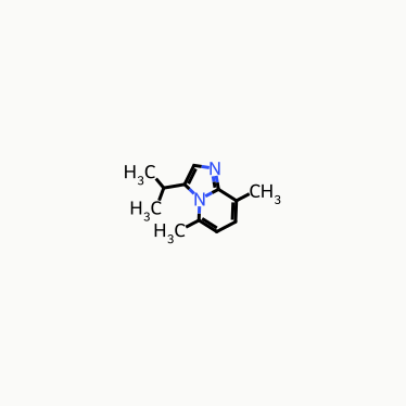 Cc1ccc(C)n2c(C(C)C)cnc12